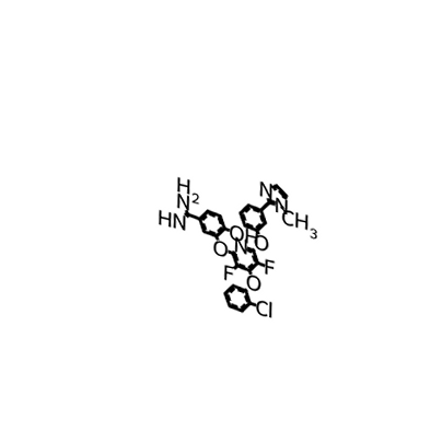 Cn1ccnc1-c1cccc(Oc2nc(Oc3cc(C(=N)N)ccc3O)c(F)c(Oc3ccccc3Cl)c2F)c1